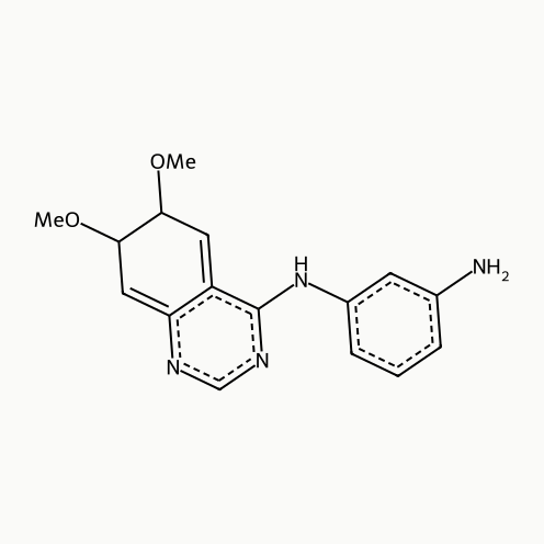 COC1C=c2ncnc(Nc3cccc(N)c3)c2=CC1OC